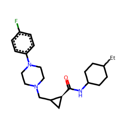 CCC1CCC(NC(=O)[C@H]2CC2CN2CCN(c3ccc(F)cc3)CC2)CC1